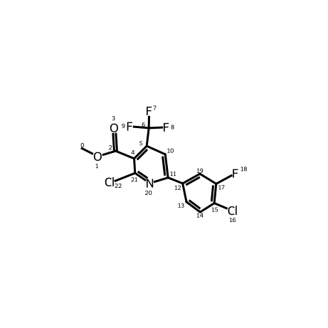 COC(=O)c1c(C(F)(F)F)cc(-c2ccc(Cl)c(F)c2)nc1Cl